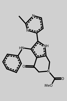 COC(=O)N1CC(=O)c2c([nH]c(-c3ccnc(C)n3)c2Nc2ccccc2)C1